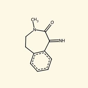 CN1CCc2ccccc2C(=N)C1=O